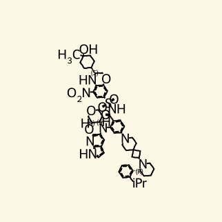 CC(C)c1ccccc1[C@H]1CCCCN1C1CC2(CCN(c3ccc(C(=O)NS(=O)(=O)c4cc5c(c([N+](=O)[O-])c4)N[C@@H](C4CCC(C)(O)CC4)CO5)c(N4c5cc6cc[nH]c6nc5O[C@H]5COCC[C@@H]54)c3)CC2)C1